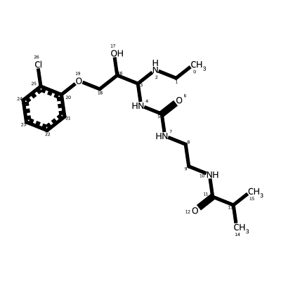 CCNC(NC(=O)NCCNC(=O)C(C)C)C(O)COc1ccccc1Cl